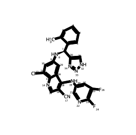 Cc1ccccc1[C@H](Nc1cc(Cl)c2ncc(C#N)c(Nc3cnc(F)c(F)c3)c2c1)c1c[nH]nn1